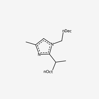 CCCCCCCCCCCn1cc(C)nc1C(C)CCCCCCCC